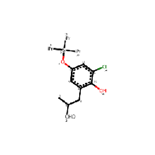 CC(C=O)Cc1cc(O[Si](C(C)C)(C(C)C)C(C)C)cc(Cl)c1O